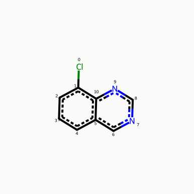 Clc1c[c]cc2cncnc12